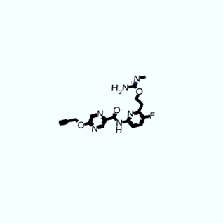 C#CCOc1cnc(C(=O)Nc2ccc(F)c(CCO/C(N)=N\C)n2)cn1